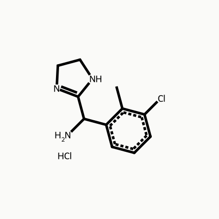 Cc1c(Cl)cccc1C(N)C1=NCCN1.Cl